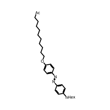 CCCCCCc1ccc(N=Nc2ccc(OCCCCCCCCCCC(C)=O)cc2)cc1